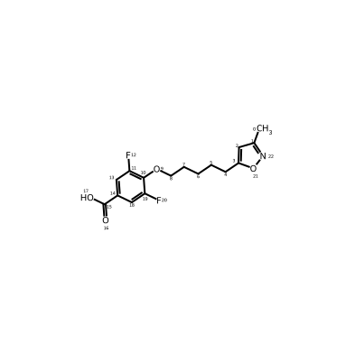 Cc1cc(CCCCCOc2c(F)cc(C(=O)O)cc2F)on1